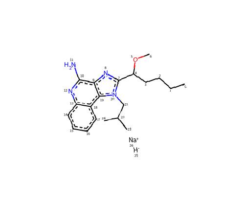 CCCCC(OC)c1nc2c(N)nc3ccccc3c2n1CC(C)C.[H-].[Na+]